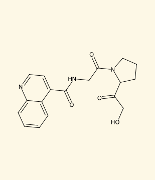 O=C(NCC(=O)N1CCCC1C(=O)CO)c1ccnc2ccccc12